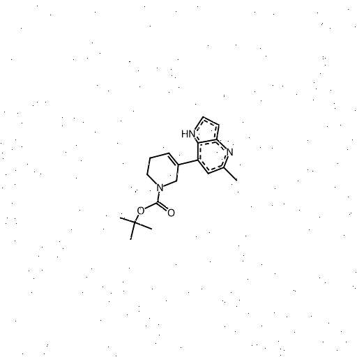 Cc1cc(C2=CCCN(C(=O)OC(C)(C)C)C2)c2[nH]ccc2n1